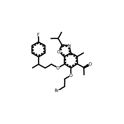 CC(=O)c1c(OCCBr)c(OCCC(C)c2ccc(F)cc2)c2oc(C(C)C)nc2c1C